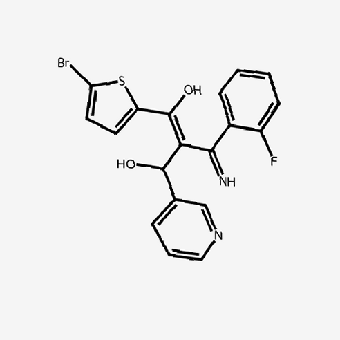 N=C(/C(=C(\O)c1ccc(Br)s1)C(O)c1cccnc1)c1ccccc1F